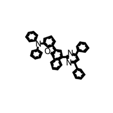 c1ccc(-c2cc(-c3ccccc3)nc(-c3cc4c5cccc(N(c6ccccc6)c6ccccc6)c5oc4c4ccccc34)n2)cc1